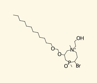 CCCCCCCCCCCCOCOC1C[N+](C)(CCO)CCC(Br)P(C)(=O)C1